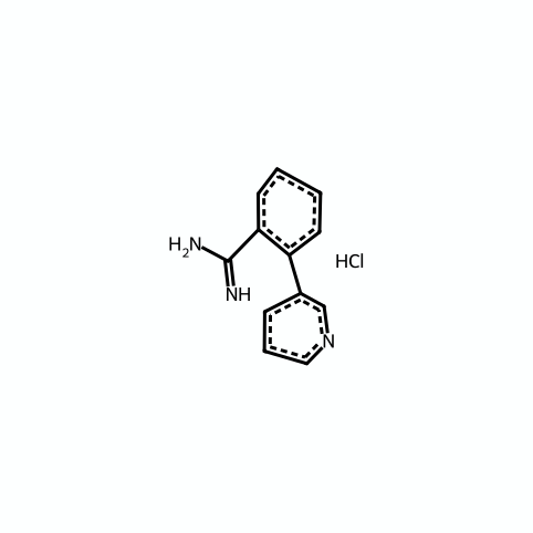 Cl.N=C(N)c1ccccc1-c1cccnc1